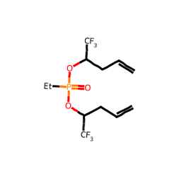 C=CCC(OP(=O)(CC)OC(CC=C)C(F)(F)F)C(F)(F)F